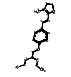 CCOC(COc1ccc(/C=C/C2=[N+](C)CCO2)cc1)OCC